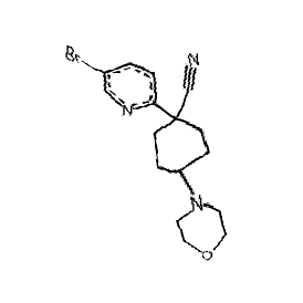 N#CC1(c2ccc(Br)cn2)CCC(N2CCOCC2)CC1